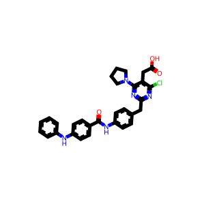 O=C(O)Cc1c(Cl)nc(Cc2ccc(NC(=O)c3ccc(Nc4ccccc4)cc3)cc2)nc1N1CCCC1